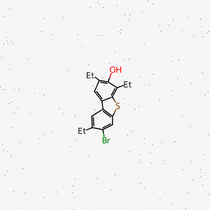 CCc1cc2c(cc1Br)sc1c(CC)c(O)c(CC)cc12